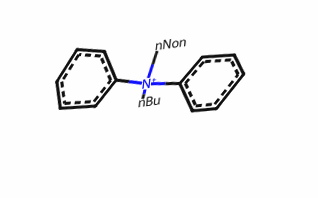 CCCCCCCCC[N+](CCCC)(c1ccccc1)c1ccccc1